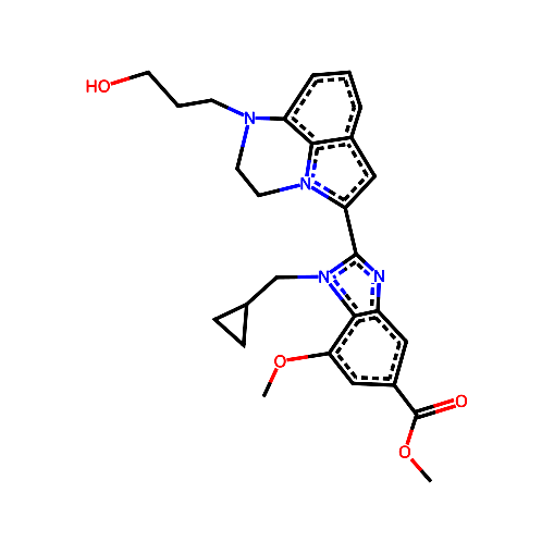 COC(=O)c1cc(OC)c2c(c1)nc(-c1cc3cccc4c3n1CCN4CCCO)n2CC1CC1